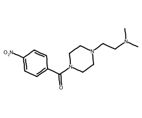 CN(C)CCN1CCN(C(=O)c2ccc([N+](=O)[O-])cc2)CC1